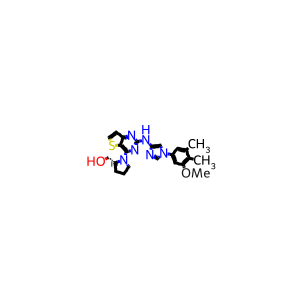 COc1cc(-n2cnc(Nc3nc(N4CCC[C@@H]4CO)c4sccc4n3)c2)cc(C)c1C